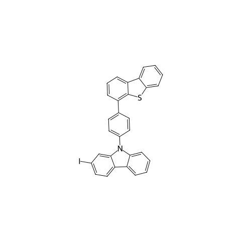 Ic1ccc2c3ccccc3n(-c3ccc(-c4cccc5c4sc4ccccc45)cc3)c2c1